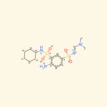 CN(C)/C=N/S(=O)(=O)c1ccc(N)c(S(=O)(=O)NC2CCCCC2)c1